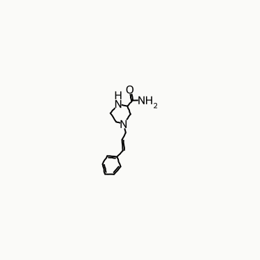 NC(=O)C1CN(CC=Cc2ccccc2)CCN1